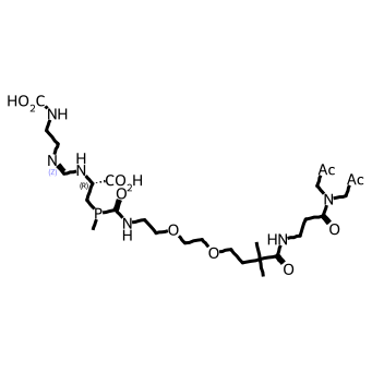 CC(=O)CN(CC(C)=O)C(=O)CCNC(=O)C(C)(C)CCOCCOCCNC(=O)P(C)C[C@H](N/C=N\CCNC(=O)O)C(=O)O